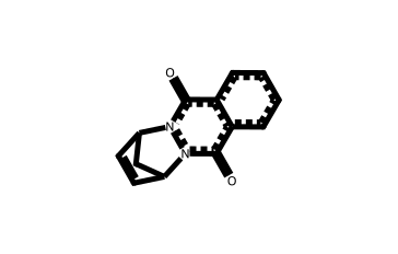 O=c1c2ccccc2c(=O)n2n1C1C=CC2C1